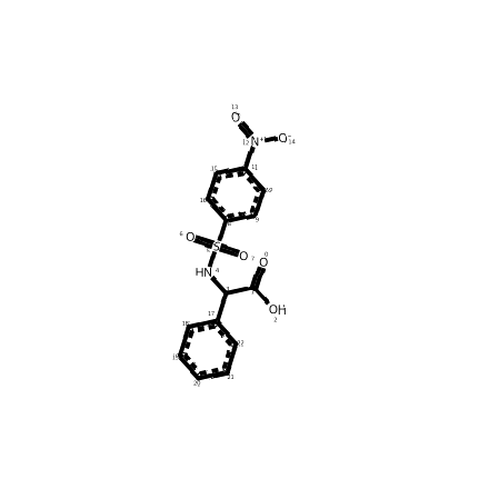 O=C(O)C(NS(=O)(=O)c1ccc([N+](=O)[O-])cc1)c1ccccc1